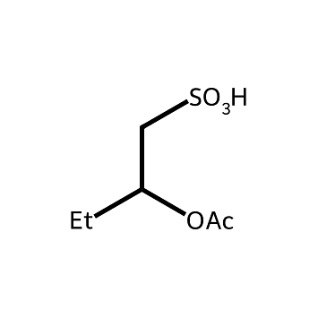 CCC(CS(=O)(=O)O)OC(C)=O